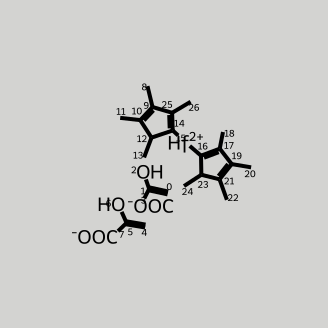 C=C(O)C(=O)[O-].C=C(O)C(=O)[O-].CC1=C(C)C(C)[C]([Hf+2][C]2=C(C)C(C)=C(C)C2C)=C1C